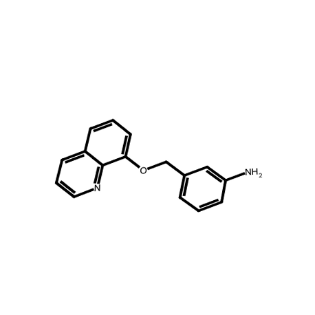 Nc1cccc(COc2cccc3cccnc23)c1